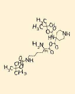 CC(C)(C)OC(=O)NCCCC[C@@H](N)C(=O)OC(=O)C1(NC(=O)OC(C)(C)C)CCNCC1